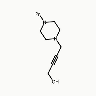 CC(C)N1CCN(CC#CCO)CC1